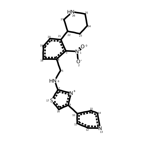 O=[N+]([O-])c1c(CNc2nc(-c3ccncc3)cs2)cccc1C1CCCNC1